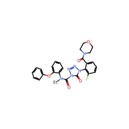 CCN(C(=O)n1nnn(-c2c(F)cccc2C(=O)N2CCOCC2)c1=O)c1ccccc1Oc1ccccc1